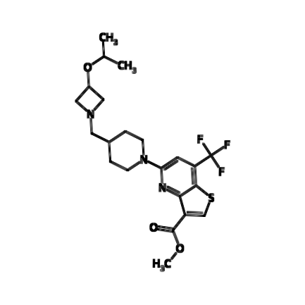 COC(=O)c1csc2c(C(F)(F)F)cc(N3CCC(CN4CC(OC(C)C)C4)CC3)nc12